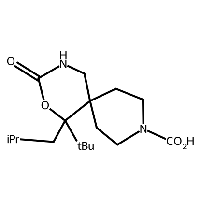 CC(C)CC1(C(C)(C)C)OC(=O)NCC12CCN(C(=O)O)CC2